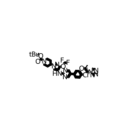 C[C@@H](Cn1cnnn1)Oc1cc(-c2cnc(Nc3cn(C4CCN(C(=O)OC(C)(C)C)CC4)nc3OC(F)F)nc2)ccc1Cl